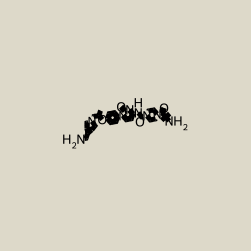 CC(CN1CC2C(CN)C2C1)Oc1ccc(-n2ccc(NC(=O)N3CCN(C(=O)C(C)(C)N)CC3)nc2=O)cc1